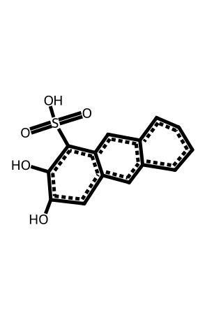 O=S(=O)(O)c1c(O)c(O)cc2cc3ccccc3cc12